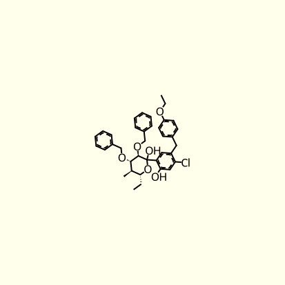 CCOc1ccc(Cc2cc(C3(O)O[C@H](CC)[C@@H](C)[C@H](OCc4ccccc4)[C@H]3OCc3ccccc3)c(O)cc2Cl)cc1